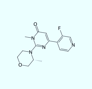 C[C@@H]1COCCN1c1nc(-c2ccncc2F)cc(=O)n1C